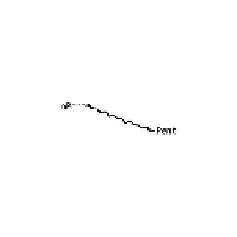 CCCCCC=CCCCCCCCCCC[CH]CC=CC(C)CCC